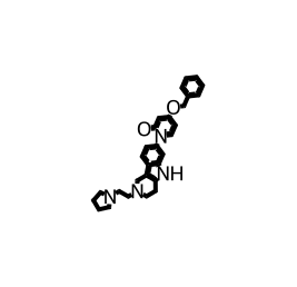 O=c1cc(OCc2ccccc2)ccn1-c1ccc2c3c([nH]c2c1)CCN(CCN1CCCC1)C3